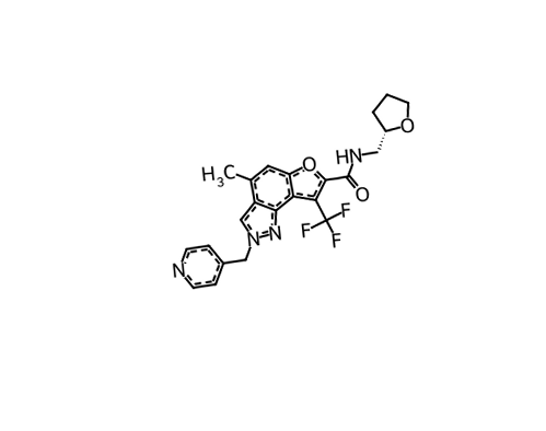 Cc1cc2oc(C(=O)NC[C@@H]3CCCO3)c(C(F)(F)F)c2c2nn(Cc3ccncc3)cc12